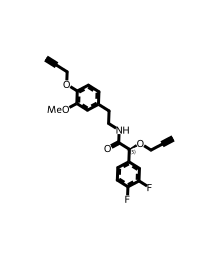 C#CCOc1ccc(CCNC(=O)[C@@H](OCC#C)c2ccc(F)c(F)c2)cc1OC